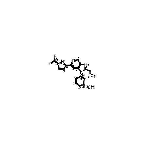 CC(C)Cc1nc2cnc(-c3ccn(C(F)F)n3)cc2n1[C@@H]1CCC[C@@H](O)C1